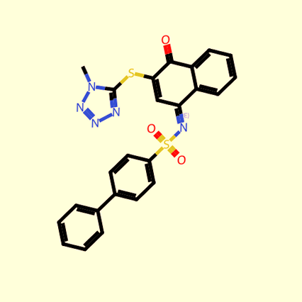 Cn1nnnc1SC1=C/C(=N\S(=O)(=O)c2ccc(-c3ccccc3)cc2)c2ccccc2C1=O